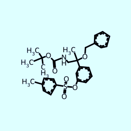 Cc1ccc(S(=O)(=O)Oc2cccc(C(C)(CNC(=O)OC(C)(C)C)OCc3ccccc3)c2)cc1